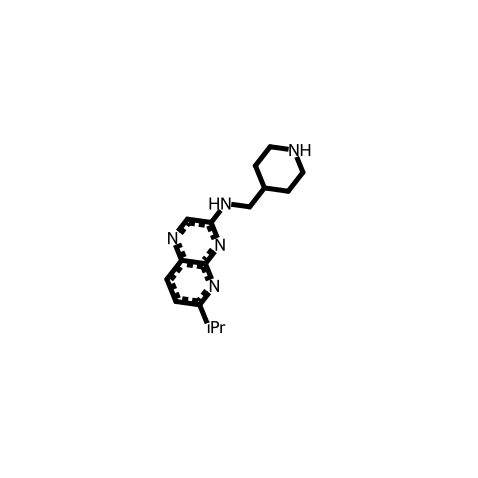 CC(C)c1ccc2ncc(NCC3CCNCC3)nc2n1